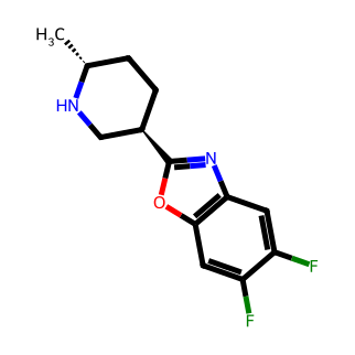 C[C@@H]1CC[C@@H](c2nc3cc(F)c(F)cc3o2)CN1